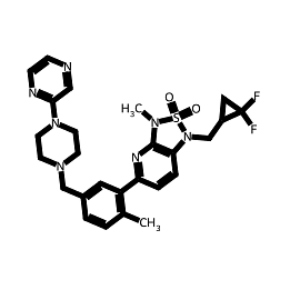 Cc1ccc(CN2CCN(c3cnccn3)CC2)cc1-c1ccc2c(n1)N(C)S(=O)(=O)N2CC1CC1(F)F